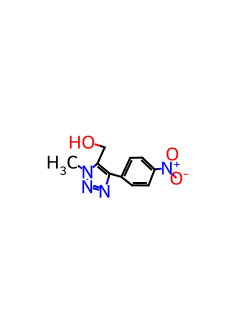 Cn1nnc(-c2ccc([N+](=O)[O-])cc2)c1CO